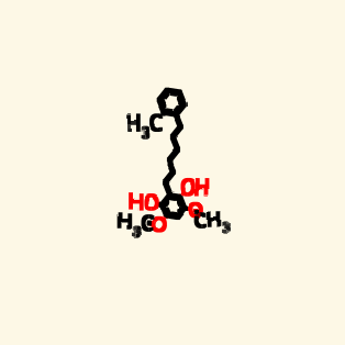 COc1cc(OC)c(O)c(CCCCCCc2ccccc2C)c1O